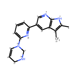 Cc1[nH]c2ncc(-c3cccc(N4C=CCNC4)n3)cc2c1C(F)(F)F